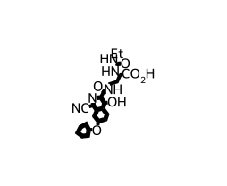 CCNC(=O)NC(CCNC(=O)c1nc(C#N)c2cc(Oc3ccccc3)ccc2c1O)C(=O)O